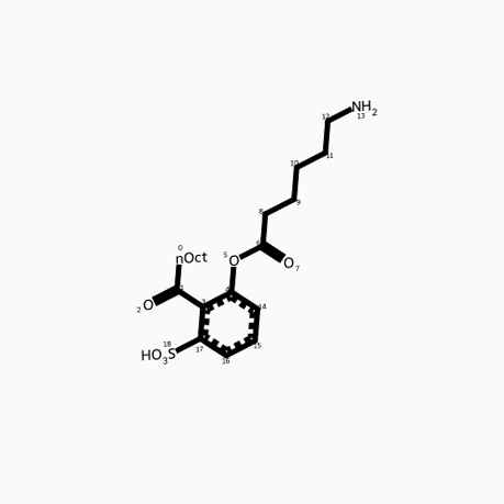 CCCCCCCCC(=O)c1c(OC(=O)CCCCCN)cccc1S(=O)(=O)O